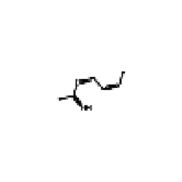 C/C=C\C=N/C(C)=N